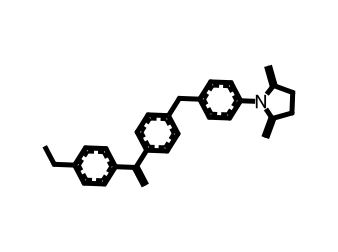 C=C(c1ccc(CC)cc1)c1ccc(Cc2ccc(N3C(=C)CCC3=C)cc2)cc1